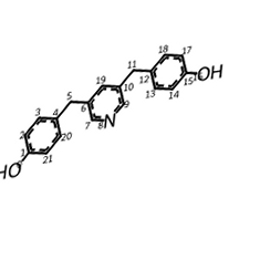 Oc1ccc(Cc2cncc(Cc3ccc(O)cc3)c2)cc1